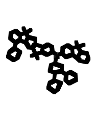 CC1(C)c2ccccc2-c2cc(N(c3ccc(-c4ccccc4)c(-c4ccccc4)c3)c3ccc4c(c3)C(C)(C)c3cc5c(cc3-4)C(C)(C)c3cccc(-c4ccccc4)c3-5)ccc21